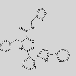 O=C(NCc1ncco1)C(=O)C(Cc1ccccc1)NC(=O)c1cccnc1-n1ccc(-c2ccccc2)n1